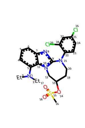 CCN(CC)c1cccc2nc3n(c12)CC(OS(C)(=O)=O)CCN3c1ccc(Cl)cc1Cl